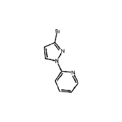 Brc1ccn(-c2ccccn2)n1